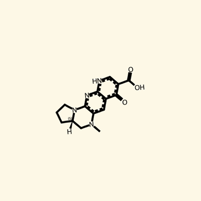 CN1C[C@@H]2CCCN2c2nc3[nH]cc(C(=O)O)c(=O)c3cc21